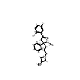 CC(=O)N1N=C(c2cc(F)ccc2F)C[C@@]1(CCCN1CC(O)C1)c1ccccc1